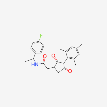 Cc1cc(C)c(C2C(=O)CC(CC(=O)NC(C)c3ccc(F)cc3)C2=O)c(C)c1